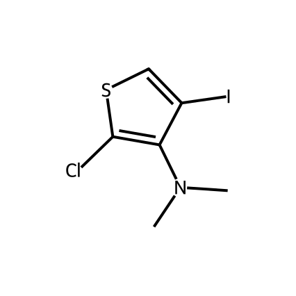 CN(C)c1c(I)csc1Cl